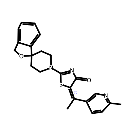 C/C(=C1\SC(N2CCC3(CC2)OCc2ccccc23)=NC1=O)c1ccc(C)nc1